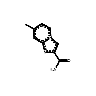 Cc1ccn2cc(C(N)=O)nc2c1